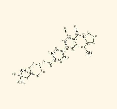 CC(C)(F)CN1CCC(COc2cnc(-c3ccc(C(=O)N4CCCC4CO)c(F)c3)cn2)CC1